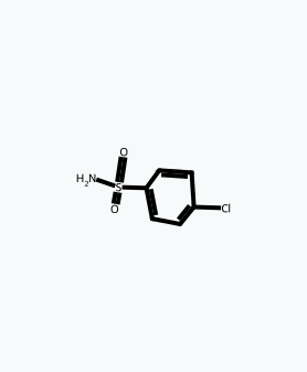 NS(=O)(=O)c1[c]cc(Cl)cc1